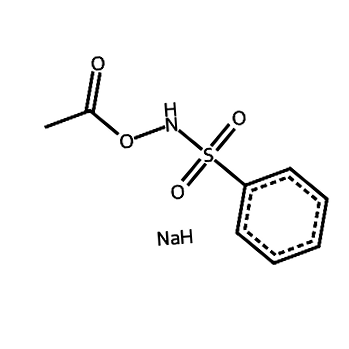 CC(=O)ONS(=O)(=O)c1ccccc1.[NaH]